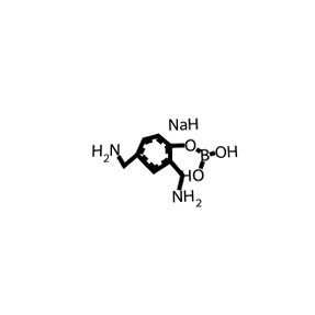 NCc1ccc(OB(O)O)c(CN)c1.[NaH]